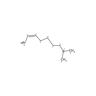 CCC/C=C\CCCCB(C)C